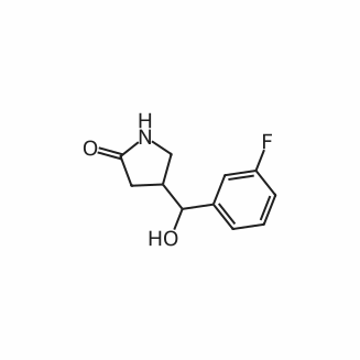 O=C1CC(C(O)c2cccc(F)c2)CN1